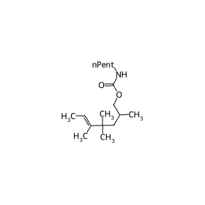 C/C=C(\C)C(C)(C)CC(C)COC(=O)NCCCCC